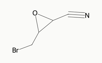 N#CC1OC1CBr